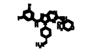 CC1(Nc2ncc3nc(Nc4cc(F)cc(F)c4)n([C@H]4CC[C@@H](CN)CC4)c3n2)CCOCC1